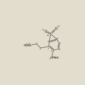 CCCCCCCCCCCCc1c(CCCCCC)ccc2c1S2(=O)=O